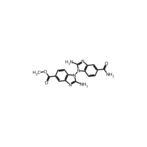 COC(=O)c1ccc2c(c1)nc(N)n2-n1c(N)nc2cc(C(N)=O)ccc21